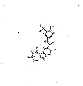 C[C@@H]1Cc2nn3c(c2CN1C(=O)Nc1ccc(F)c(C(F)(F)F)c1)C(=O)N(C)N(C)CC3